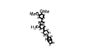 COc1ccc(-c2cn3cc(C4CCN(C5CC6CCC(C5)N6)CC4)cc(C)c3n2)cc1OC